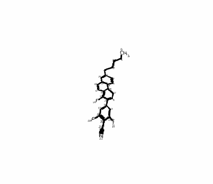 CCCCCc1ccc2c(ccc3c(F)c(-c4cc(F)c(C#N)c(F)c4)ccc32)c1